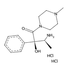 C[C@H](N)[C@@](O)(C(=O)N1CCN(C)CC1)c1ccccc1.Cl.Cl